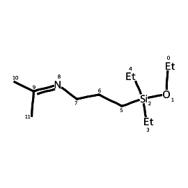 CCO[Si](CC)(CC)CCCN=C(C)C